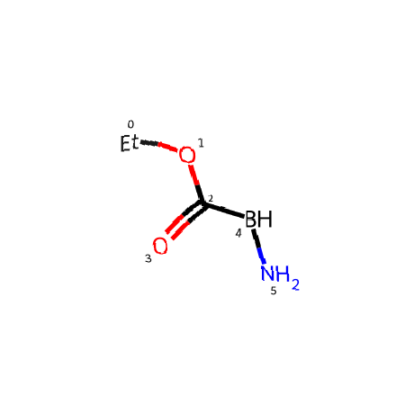 CCOC(=O)BN